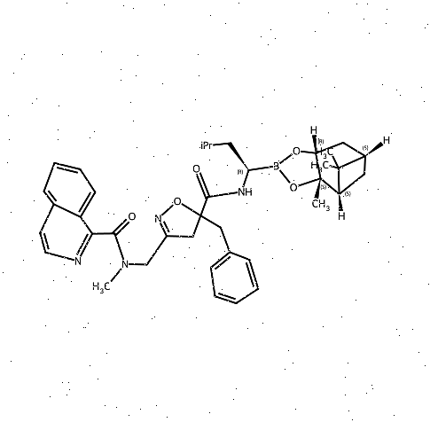 CC(C)C[C@H](NC(=O)C1(Cc2ccccc2)CC(CN(C)C(=O)c2nccc3ccccc23)=NO1)B1O[C@@H]2C[C@@H]3C[C@@H](C3(C)C)[C@]2(C)O1